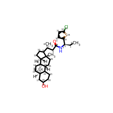 CC[C@@H](NC(=O)C[C@@H](C)C1CC[C@H]2[C@@H]3CC[C@@H]4C[C@H](O)CC[C@]4(C)[C@H]3CC[C@]12C)c1ccc(Cl)s1